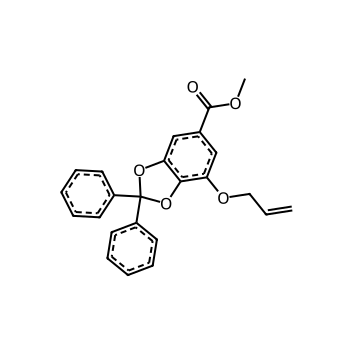 C=CCOc1cc(C(=O)OC)cc2c1OC(c1ccccc1)(c1ccccc1)O2